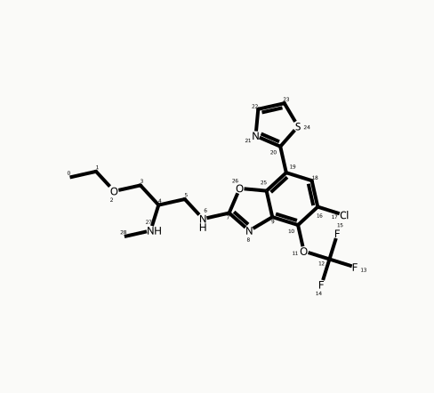 CCOCC(CNc1nc2c(OC(F)(F)F)c(Cl)cc(-c3nccs3)c2o1)NC